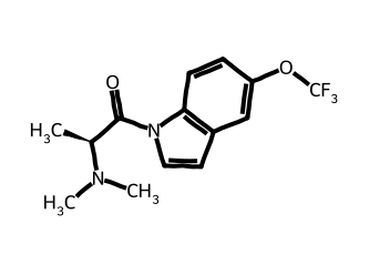 C[C@@H](C(=O)n1ccc2cc(OC(F)(F)F)ccc21)N(C)C